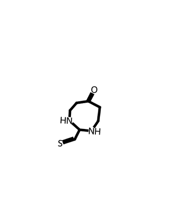 O=C1CCNC(C=S)NCC1